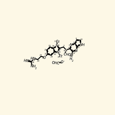 CCn1c(CN(C=O)c2nc3cc[nH]c3nc2N)[n+](CC)c2ccc(OCCNC(=N)N)cc21.O=C[O-]